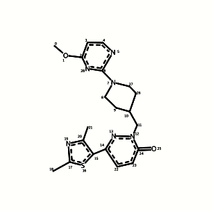 COc1ccnc(N2CCC(Cn3nc(-c4sc(C)nc4C)ccc3=O)CC2)n1